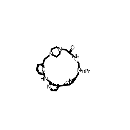 CCCN1CCNC(=O)CN2CCN(CC2)Cc2cccc(c2)Nc2cc(ccn2)-c2ccc(nc2)C1